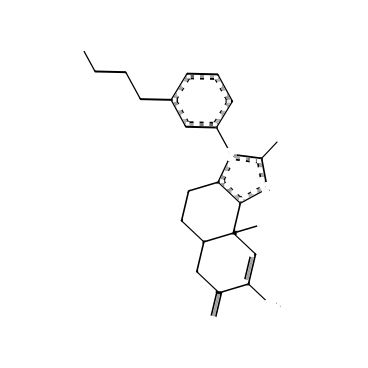 Cc1nc2c(n1-c1cccc(CCCO)c1)CCC1CC(=O)C(C#N)=CC21C